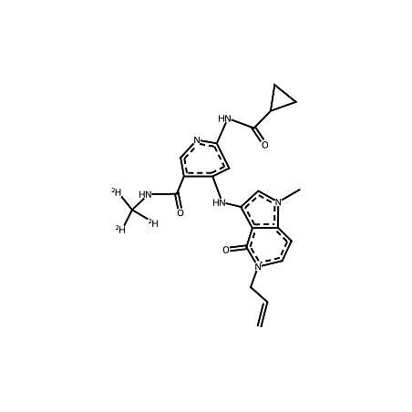 [2H]C([2H])([2H])NC(=O)c1cnc(NC(=O)C2CC2)cc1Nc1cn(C)c2ccn(CC=C)c(=O)c12